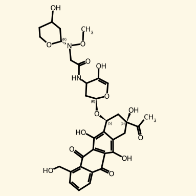 CON(CC(=O)NC1C[C@H](O[C@H]2C[C@](O)(C(C)=O)Cc3c(O)c4c(c(O)c32)C(=O)c2c(CO)cccc2C4=O)OC=C1O)[C@H]1CC(O)CCO1